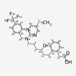 CCc1cnc(N(CCCC2CCc3c(CC(=O)O)cccc3O2)Cc2ccc(C(F)(F)F)cc2)nc1